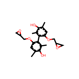 Cc1cc(OCC2CO2)c(-c2c(OCC3CO3)cc(C)c(O)c2C)c(C)c1O